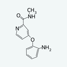 CNC(=O)c1cc(Oc2ccccc2N)ccn1